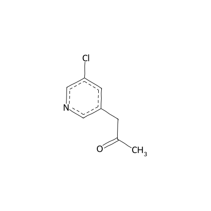 CC(=O)Cc1cncc(Cl)c1